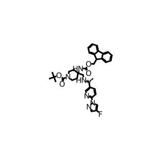 C[C@H](NCC1(NC(=O)OCC2c3ccccc3-c3ccccc32)CCN(C(=O)OC(C)(C)C)CC1)c1ccc(-n2cc(F)cn2)nc1